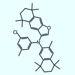 Cc1cc(Cl)cc(N(c2cc3c(cc2C)C(C)(C)CCC3(C)C)c2coc3cc4c(cc23)C(C)(C)CCC4(C)C)c1